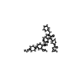 C=CC(=O)N1CC[C@H](N2C(=O)N(Cc3ccccc3)Cc3cnc(Nc4ccc(N5CCN(C)CC5)cc4C)nc32)C1